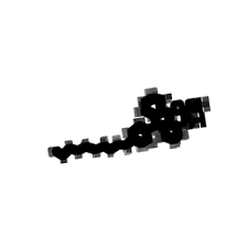 CCCCCCCCCCc1ccc(-c2c3ccccc3c(OB(O)O)c3ccccc23)cc1